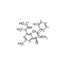 Cc1cc(C(C)NC(=O)O)c2oc(-c3ccccc3F)c(C)c(=O)c2c1